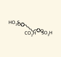 O=C(O)C(CCCCCCc1ccc(OS(=O)(=O)O)cc1)Cc1ccc(OS(=O)(=O)O)cc1